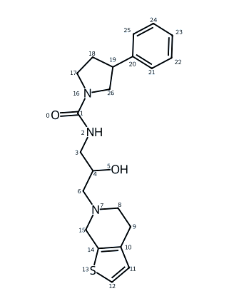 O=C(NCC(O)CN1CCc2ccsc2C1)N1CCC(c2ccccc2)C1